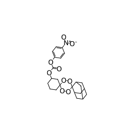 O=C(Oc1ccc([N+](=O)[O-])cc1)OC1CCCC2(C1)OOC1(OO2)C2CC3CC(C2)CC1C3